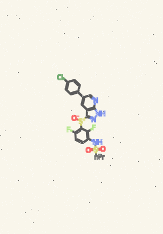 CCCS(=O)(=O)Nc1ccc(F)c([S+]([O-])c2n[nH]c3ncc(-c4ccc(Cl)cc4)cc23)c1F